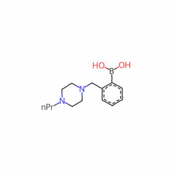 CCCN1CCN(Cc2ccccc2B(O)O)CC1